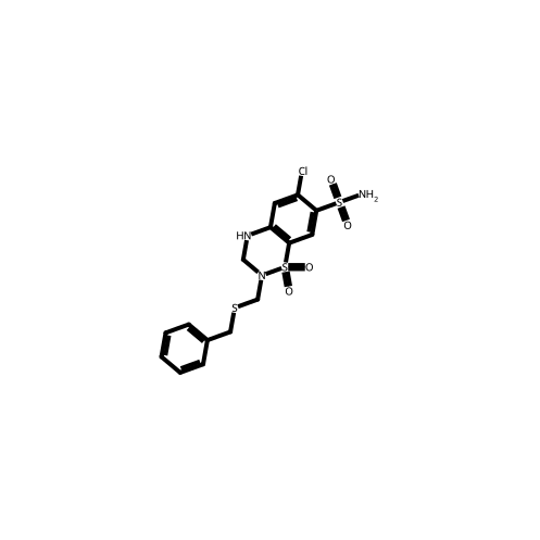 NS(=O)(=O)c1cc2c(cc1Cl)NCN(CSCc1ccccc1)S2(=O)=O